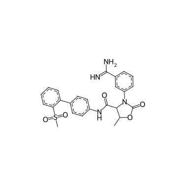 CC1OC(=O)N(c2cccc(C(=N)N)c2)C1C(=O)Nc1ccc(-c2ccccc2S(C)(=O)=O)cc1